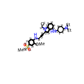 CCN(CC)C1CCC(Nc2cccc3c2cc(C#CCNc2ccc(S(=O)(=O)NC)cc2OC)n3CC(F)(F)F)CC1